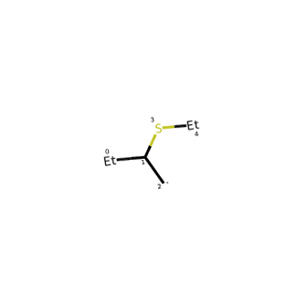 [CH2]CC([CH2])SCC